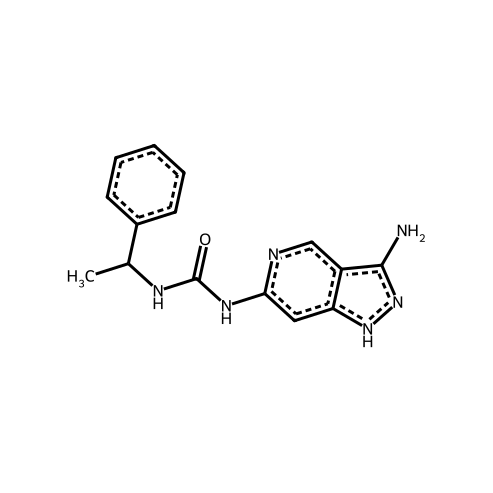 CC(NC(=O)Nc1cc2[nH]nc(N)c2cn1)c1ccccc1